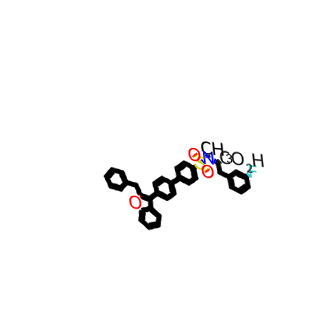 CN(C(Cc1cccc(F)c1)C(=O)O)S(=O)(=O)c1ccc(-c2ccc(-c3c(Cc4ccccc4)oc4ccccc34)cc2)cc1